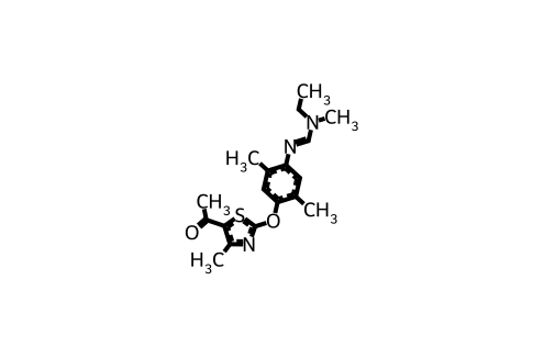 CCN(C)/C=N/c1cc(C)c(Oc2nc(C)c(C(C)=O)s2)cc1C